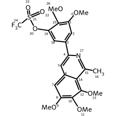 COc1cc(-c2cc3cc(OC)c(OC)c(OC)c3c(C)n2)cc(OS(=O)(=O)C(F)(F)F)c1OC